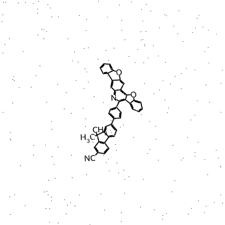 CC1(C)c2cc(C#N)ccc2-c2ccc(-c3ccc(-c4nc5cc6c(cc5c5oc7ccccc7c45)oc4ccccc46)cc3)cc21